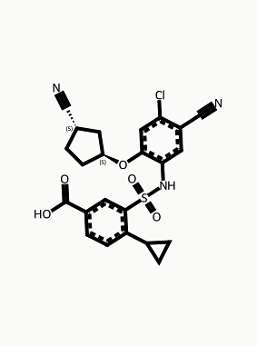 N#Cc1cc(NS(=O)(=O)c2cc(C(=O)O)ccc2C2CC2)c(O[C@H]2CC[C@H](C#N)C2)cc1Cl